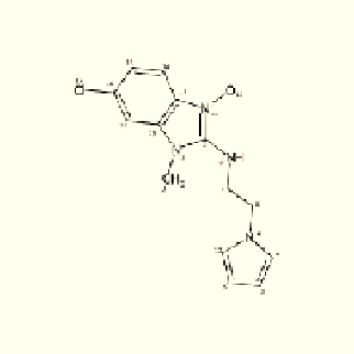 Cn1c(NCCn2cccc2)[n+]([O-])c2ccc(Cl)cc21